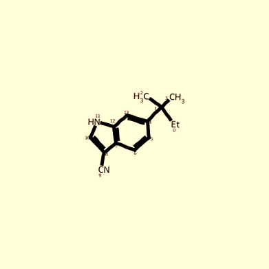 CCC(C)(C)c1ccc2c(C#N)c[nH]c2c1